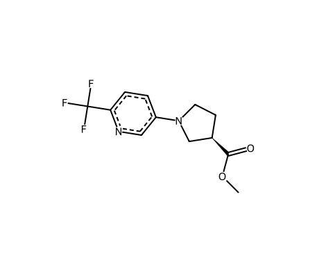 COC(=O)[C@@H]1CCN(c2ccc(C(F)(F)F)nc2)C1